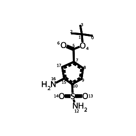 CC(C)(C)OC(=O)c1ccc(S(N)(=O)=O)c(N)c1